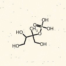 CC(CO)(OP(=O)(O)O)C(O)CO